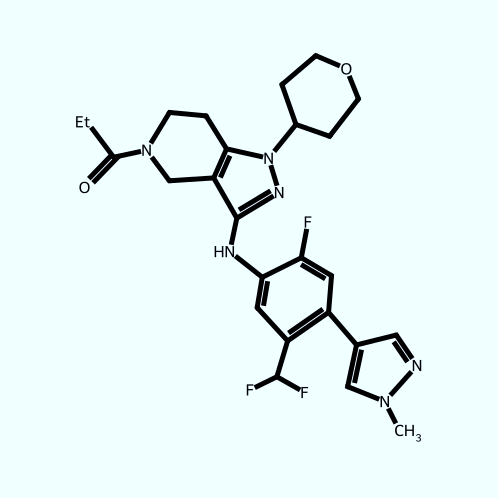 CCC(=O)N1CCc2c(c(Nc3cc(C(F)F)c(-c4cnn(C)c4)cc3F)nn2C2CCOCC2)C1